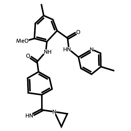 COc1cc(C)cc(C(=O)Nc2ccc(C)cn2)c1NC(=O)c1ccc(C(=N)N2CC2)cc1